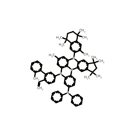 C=Cc1ccc(N2c3cc(N(c4ccccc4)c4ccccc4)ccc3B3c4cc5c(cc4N(c4cc6c(cc4C)C(C)(C)CCC6(C)C)c4cc(C)cc2c43)C(C)(C)CC5(C)C)cc1-c1ccccc1C